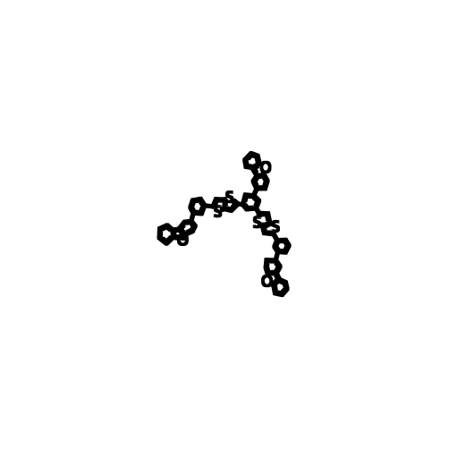 c1cc(-c2ccc3oc4ccccc4c3c2)cc(-c2cc3sc(-c4cc(-c5ccc6oc7ccccc7c6c5)cc(-c5cc6sc(-c7cccc(-c8ccc9oc%10ccccc%10c9c8)c7)cc6s5)c4)cc3s2)c1